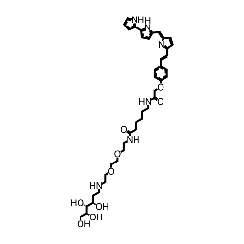 O=C(CCCCCNC(=O)COc1ccc(/C=C/C2=NC(=C\c3ccc(-c4ccc[nH]4)[nH]3)/C=C2)cc1)NCCOCCOCCNCC[C@@H](O)[C@@H](O)[C@@H](O)CO